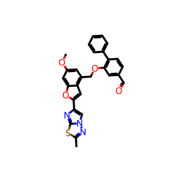 COc1cc(COc2cc(C=O)ccc2-c2ccccc2)c2cc(-c3cn4nc(C)sc4n3)oc2c1